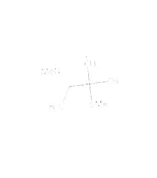 CN[C@@H](C)C(C)(C)SC